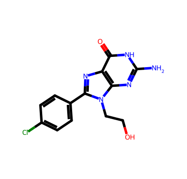 Nc1nc2c(nc(-c3ccc(Cl)cc3)n2CCO)c(=O)[nH]1